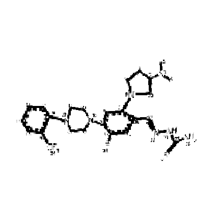 CN(C)[C@@H]1CCN(c2cc(N3CCN(c4ccccc4C(F)(F)F)CC3)c(F)cc2C=NNC(N)=S)C1